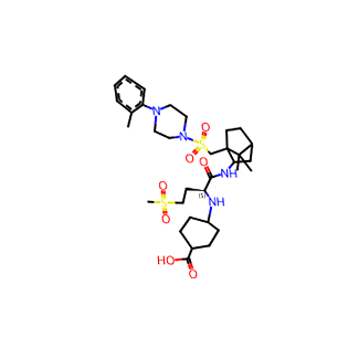 Cc1ccccc1N1CCN(S(=O)(=O)CC23CCC(CC2NC(=O)[C@H](CCS(C)(=O)=O)NC2CCC(C(=O)O)CC2)C3(C)C)CC1